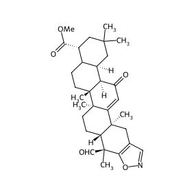 COC(=O)[C@@H]1CC(C)(C)C[C@@H]2C1CC[C@]1(C)[C@@H]2C(=O)C=C2[C@@]3(C)Cc4cnoc4[C@@](C)(C=O)[C@@H]3CC[C@]21C